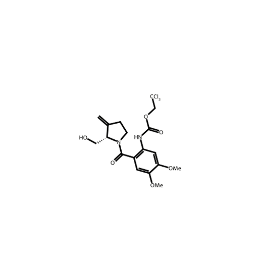 C=C1CCN(C(=O)c2cc(OC)c(OC)cc2NC(=O)OCC(Cl)(Cl)Cl)[C@@H]1CO